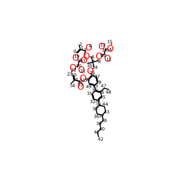 C=C(C)C(=O)OCC(COC(=O)C(=O)OC)(COC(=O)C(=O)OC)COc1ccc(-c2ccc(C3CCC(CCCCC)CC3)cc2CC)cc1OC(=O)C(=C)C